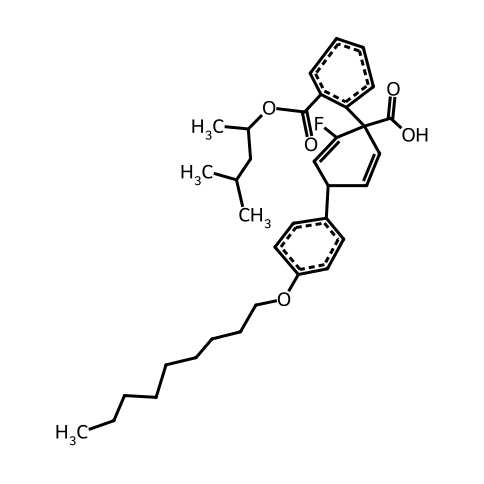 CCCCCCCCCOc1ccc(C2C=CC(C(=O)O)(c3ccccc3C(=O)OC(C)CC(C)C)C(F)=C2)cc1